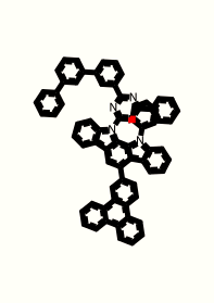 c1ccc(-c2cccc(-c3cccc(-c4nc(-c5ccccc5)nc(-n5c6ccccc6c6cc(-c7ccc8c9ccccc9c9ccccc9c8c7)c7c8ccccc8n(-c8ccccc8)c7c65)n4)c3)c2)cc1